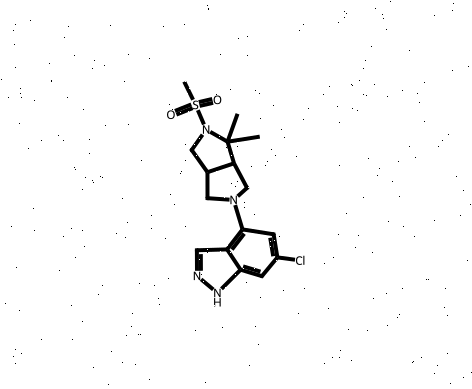 CC1(C)C2CN(c3cc(Cl)cc4[nH]ncc34)CC2CN1S(C)(=O)=O